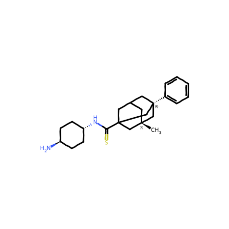 C[C@]12CC3CC(C(=S)N[C@H]4CC[C@H](N)CC4)(C1)C[C@@](c1ccccc1)(C3)C2